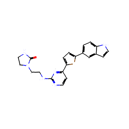 O=C1NCCN1CCNc1nccc(-c2ccc(-c3ccc4[nH]ccc4c3)s2)n1